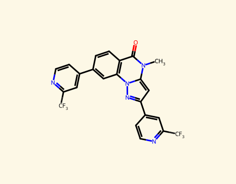 Cn1c(=O)c2ccc(-c3ccnc(C(F)(F)F)c3)cc2n2nc(-c3ccnc(C(F)(F)F)c3)cc12